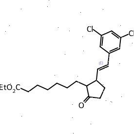 CCOC(=O)CCCCCCC1C(=O)CCC1/C=C/c1cc(Cl)cc(Cl)c1